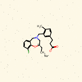 CC[C@@H]1CN(Cc2cc(CCC(=O)[O-])ccc2C)Cc2cccc(F)c2O1.[Na+]